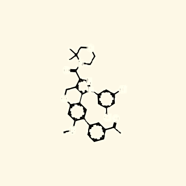 COc1cc2c(cc1-c1cccc(C(C)=O)c1)-c1c(c(C(=O)N3CCOCC3(C)C)nn1-c1cc(Cl)cc(Cl)c1)CO2